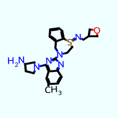 Cc1ccc2nc(N3CCS(=NCC4COC4)c4ccccc4C3)nc(N3CC[C@@H](N)C3)c2c1